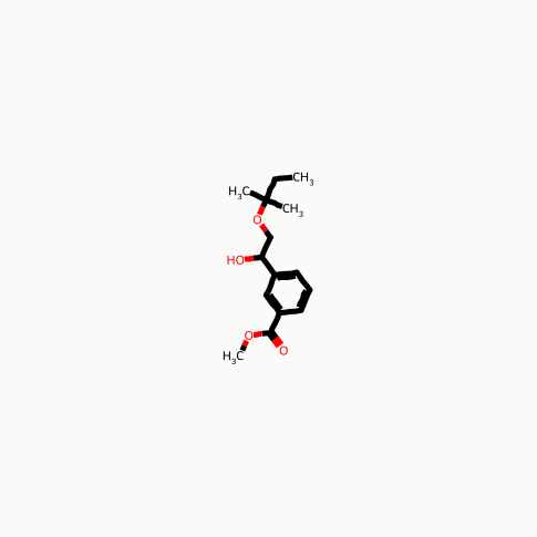 CCC(C)(C)OCC(O)c1cccc(C(=O)OC)c1